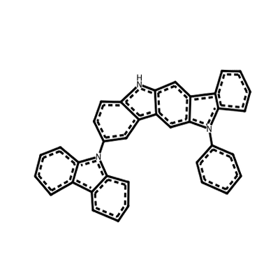 c1ccc(-n2c3ccccc3c3cc4[nH]c5ccc(-n6c7ccccc7c7ccccc76)cc5c4cc32)cc1